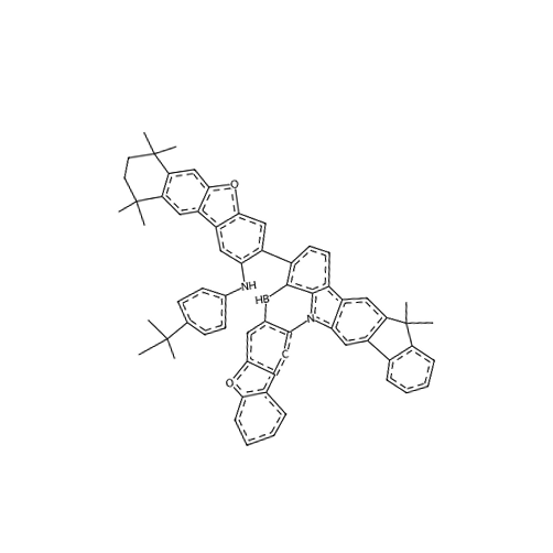 CC(C)(C)c1ccc(Nc2cc3c(cc2-c2ccc4c5cc6c(cc5n5c4c2Bc2cc4oc7ccccc7c4cc2-5)-c2ccccc2C6(C)C)oc2cc4c(cc23)C(C)(C)CCC4(C)C)cc1